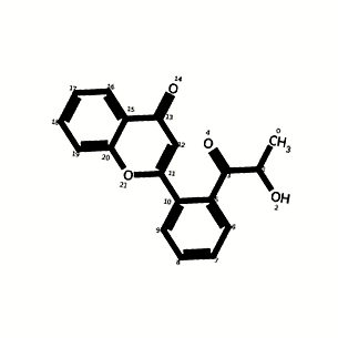 CC(O)C(=O)c1ccccc1-c1cc(=O)c2ccccc2o1